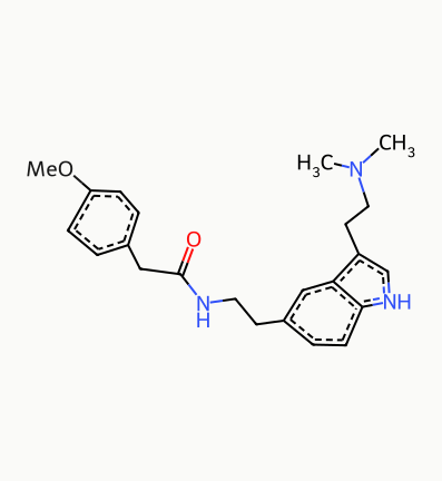 COc1ccc(CC(=O)NCCc2ccc3[nH]cc(CCN(C)C)c3c2)cc1